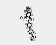 CC(C)(C)OC(=O)N1CCN([C@H]2CC[C@H](CNc3ccc(S(N)(=O)=O)cc3[N+](=O)[O-])CC2)CC1